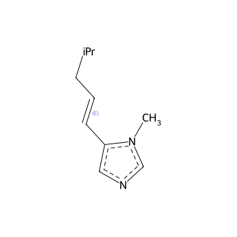 CC(C)C/C=C/c1cncn1C